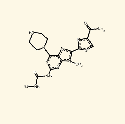 CCNC(=O)Nc1nc(N2CCNCC2)c2nc(-c3nc(C(N)=O)cs3)n(C)c2n1